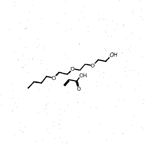 C=CC(=O)O.CCCCOCCOCCOCCO